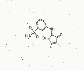 CC1=C(C)C(=O)N(Nc2cccc(S(N)(=O)=O)c2)C1=O